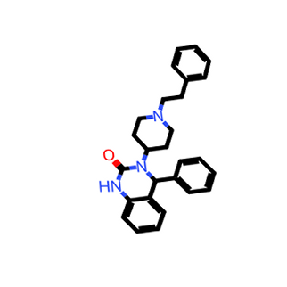 O=C1Nc2ccccc2C(c2ccccc2)N1C1CCN(CCc2ccccc2)CC1